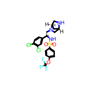 O=S(=O)(N[C@@H](CN1C[C@H]2C[C@@H]1CN2)c1ccc(Cl)c(Cl)c1)c1ccc(OC(F)(F)F)cc1